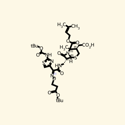 CC(C)=CCOC(=O)[C@]1(C)[C@@H](CC(=O)O)CS[C@@H]2[C@H](CNC(=O)/C(=N\OCCC(=O)OC(C)(C)C)c3csc(NC(=O)OC(C)(C)C)n3)C(=O)N21